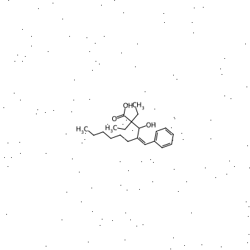 CCCCCCC(=Cc1ccccc1)C(O)C(CC)(CC)C(=O)O